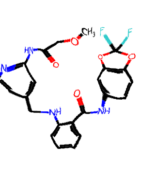 COCC(=O)Nc1cc(CNc2ccccc2C(=O)Nc2ccc3c(c2)OC(F)(F)O3)ccn1